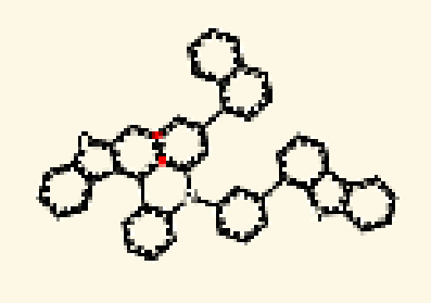 c1cc(-c2cccc3ccccc23)cc(N(c2cccc(-c3cccc4c3sc3ccccc34)c2)c2ccccc2-c2cccc3oc4ccccc4c23)c1